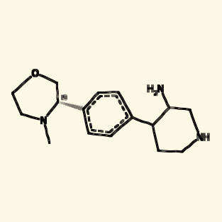 CN1CCOC[C@@H]1c1ccc(C2CCNCC2N)cc1